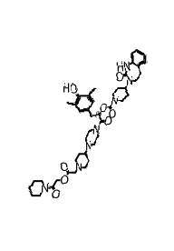 Cc1cc(C[C@@H](OC(=O)N2CCC(N3CCc4ccccc4NC3=O)CC2)C(=O)N2CCN(C3CCN(CC(=O)OCC(=O)N4CCCCC4)CC3)CC2)cc(C)c1O